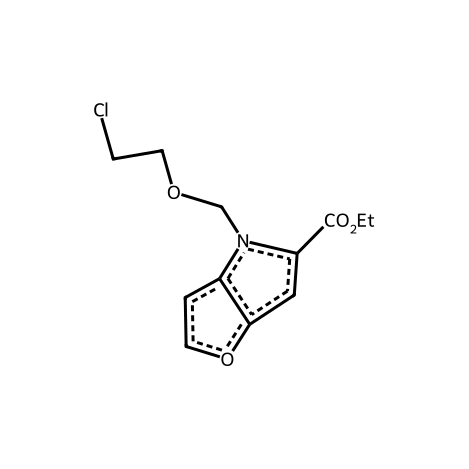 CCOC(=O)c1cc2occc2n1COCCCl